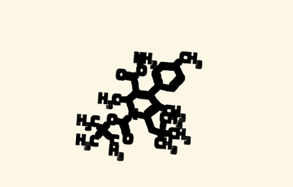 CC1=C(CC(C)(C)C)N(C(=O)OC(C)(C)C)C(C)C(C(=O)ON)=C1c1ccc(C)cc1